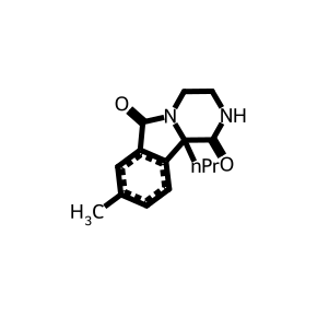 CCCC12C(=O)NCCN1C(=O)c1cc(C)ccc12